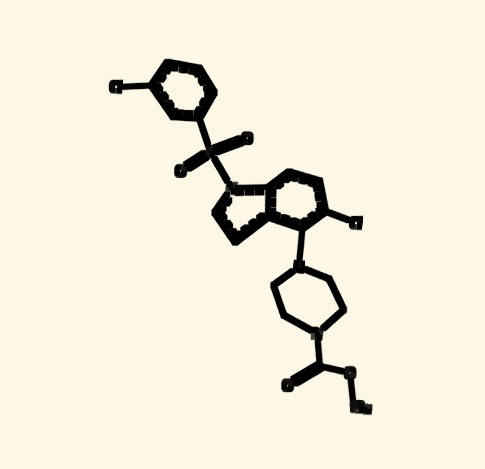 CC(C)(C)OC(=O)N1CCN(c2c(Cl)ccc3c2ccn3S(=O)(=O)c2cccc(Cl)c2)CC1